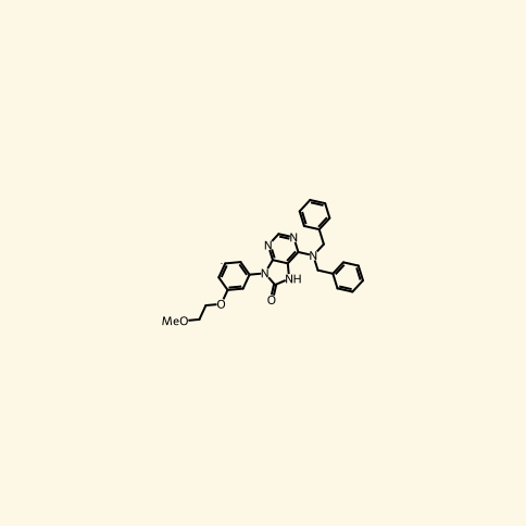 COCCOc1c[c]cc(-n2c(=O)[nH]c3c(N(Cc4ccccc4)Cc4ccccc4)ncnc32)c1